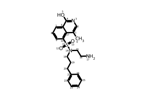 Cc1cnc(O)c2cccc(S(=O)(=O)N(CCN)CCCc3ccccc3)c12